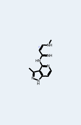 CN/C=C\C(=N)Nc1nccc2[nH]nc(C)c12